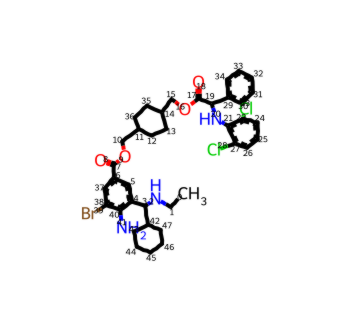 CCNC(c1cc(C(=O)OCC2CCC(COC(=O)C(Nc3c(Cl)cccc3Cl)c3ccccc3)CC2)cc(Br)c1N)C1CCCCC1